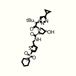 CC(C)(C)[C@@H](C(=O)N1C[C@H](O)C[C@H]1C(=O)NCc1ccc(S(=O)(=O)N2CCCCC2)s1)n1cc(C2CC2)nn1